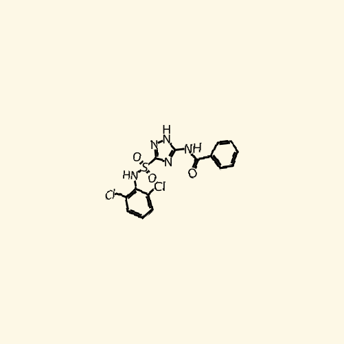 O=C(Nc1nc(S(=O)(=O)Nc2c(Cl)cccc2Cl)n[nH]1)c1ccccc1